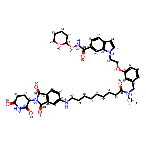 CN(Cc1cccc(OCCn2ccc3ccc(C(=O)NOC4CCCCO4)cc32)c1)C(=O)CCCCCCCCNc1ccc2c(c1)C(=O)N(C1CCC(=O)NC1=O)C2=O